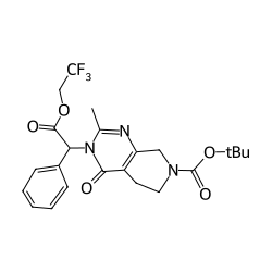 Cc1nc2c(c(=O)n1C(C(=O)OCC(F)(F)F)c1ccccc1)CCN(C(=O)OC(C)(C)C)C2